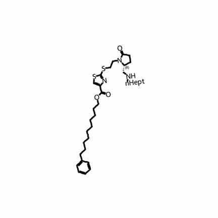 CCCCCCCNC[C@H]1CCC(=O)N1CCSc1nc(C(=O)OCCCCCCCCCCc2ccccc2)cs1